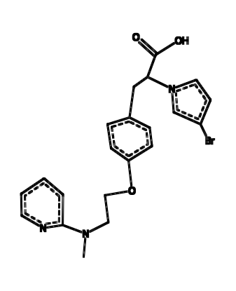 CN(CCOc1ccc(CC(C(=O)O)n2ccc(Br)c2)cc1)c1ccccn1